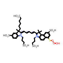 CC1(C)C(/C=C/C=C/C=C2\N(CCCS(=O)(=O)O)c3ccc(S(=O)(=O)O)cc3C2(C)CCCCCC(=O)O)=[N+](CCCS(=O)(=O)O)c2ccc3c(SOOO)cc(S(=O)(=O)O)cc3c21